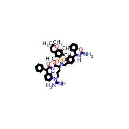 Cc1c(C)c(S(=O)(=O)N(Cc2ccc(C(NC(N)=O)c3ccccc3)cc2)[C@@H](CCCNC(=N)N)C(=O)NC(=O)C(c2ccccc2)c2ccccc2)c(C)c2c1OC(C)(C)CC2